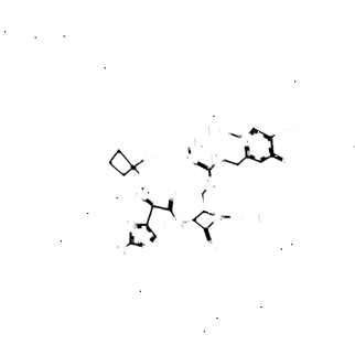 N#C/N=C(\NCc1cc(=O)c(O)cn1O)NC[C@@H]1[C@H](NC(=O)/C(=N\OC2(C(=O)O)CCC2)c2csc(N)n2)C(=O)N1S(=O)(=O)O